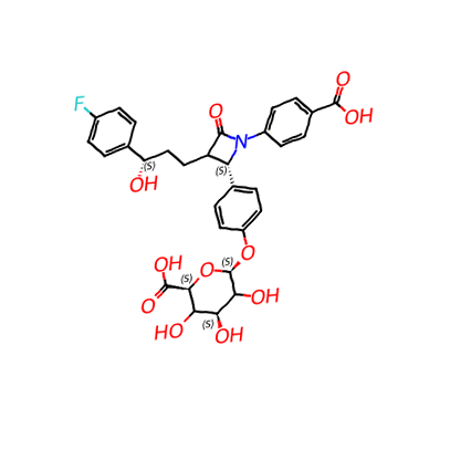 O=C(O)c1ccc(N2C(=O)C(CC[C@H](O)c3ccc(F)cc3)[C@H]2c2ccc(O[C@@H]3O[C@H](C(=O)O)C(O)[C@H](O)C3O)cc2)cc1